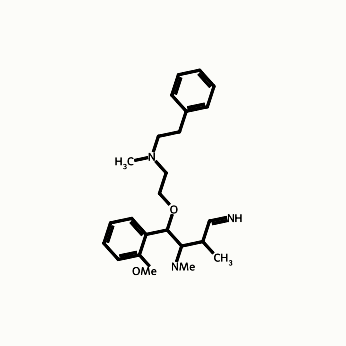 CNC(C(C)C=N)C(OCCN(C)CCc1ccccc1)c1ccccc1OC